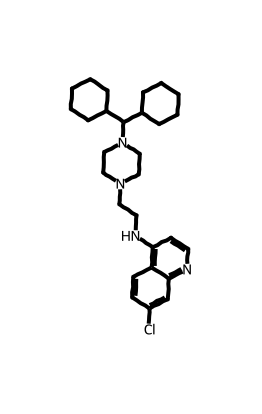 Clc1ccc2c(NCCN3CCN(C(C4CCCCC4)C4CCCCC4)CC3)ccnc2c1